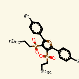 CCCCCCCCCCCCS(=O)(=O)c1c(-c2ccc(C(C)C)cc2)sc(-c2ccc(C(C)C)cc2)c1S(=O)(=O)CCCCCCCCCCCC